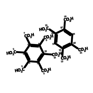 O=C(O)c1c(C(=O)O)c(C(=O)O)c(C(=O)O)c(C(=O)O)c1C(=O)O.O=C(O)c1cc(C(=O)O)c(C(=O)O)cc1C(=O)O